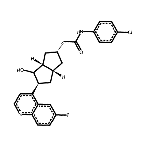 O=C(C[C@@H]1C[C@@H]2C[C@@H](c3ccnc4ccc(F)cc34)C(O)[C@@H]2C1)Nc1ccc(Cl)cc1